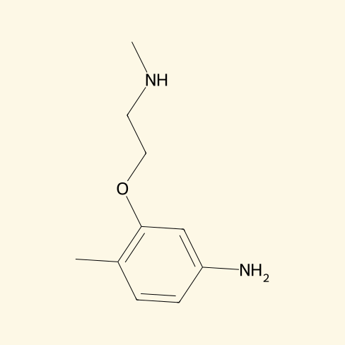 CNCCOc1cc(N)ccc1C